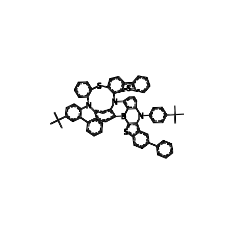 CC(C)(C)c1ccc(N2c3cccc4c3B(c3ccc5cc3N4c3c(ccc4c3sc3ccccc34)Sc3ccccc3N5c3ccc(C(C)(C)C)cc3-c3ccccc3)c3sc4ccc(-c5ccccc5)cc4c32)cc1